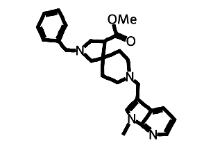 COC(=O)C1CN(Cc2ccccc2)CC12CCN(Cc1cn(C)c3ncccc13)CC2